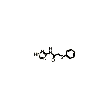 O=C(CSc1ccccc1)Nc1nc[nH]n1